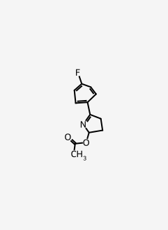 CC(=O)OC1CCC(c2ccc(F)cc2)=N1